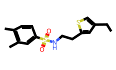 CCc1csc(CCNS(=O)(=O)c2ccc(C)c(C)c2)c1